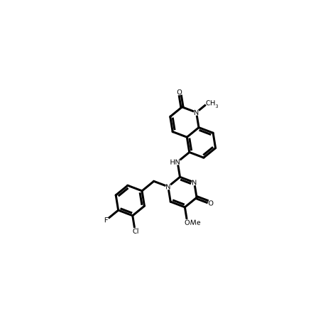 COc1cn(Cc2ccc(F)c(Cl)c2)c(Nc2cccc3c2ccc(=O)n3C)nc1=O